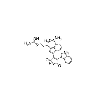 CN(C)c1cccc2c(C3=C(c4c[nH]c5ccccc45)C(=O)NC3=O)cn(CCCSC(=N)N)c12